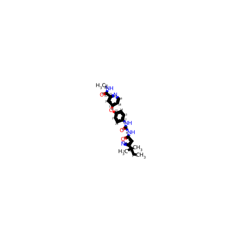 CCC(C)(C)c1cc(NC(=O)Nc2ccc(Oc3ccnc(C(=O)NC)c3)cc2)on1